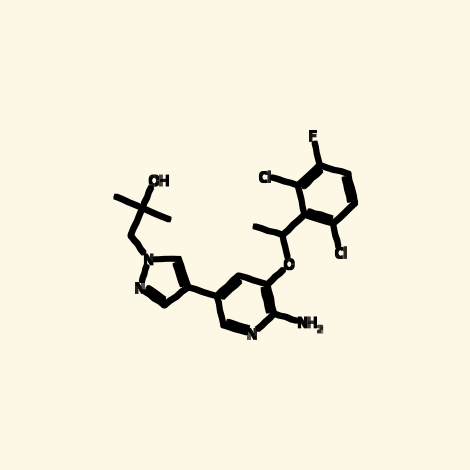 CC(Oc1cc(-c2cnn(CC(C)(C)O)c2)cnc1N)c1c(Cl)ccc(F)c1Cl